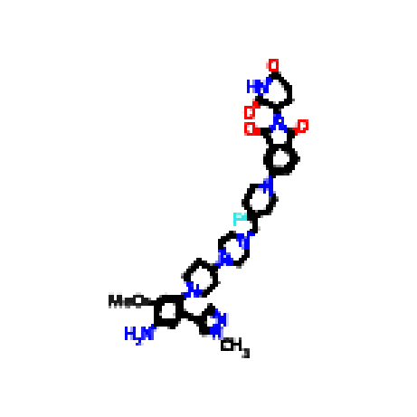 COc1cc(N2CCC(N3CCN(CC4(F)CCN(c5ccc6c(c5)C(=O)N(C5CCC(=O)NC5=O)C6=O)CC4)CC3)CC2)c(-c2cnn(C)c2)cc1N